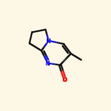 Cc1cn2c(nc1=O)CCC2